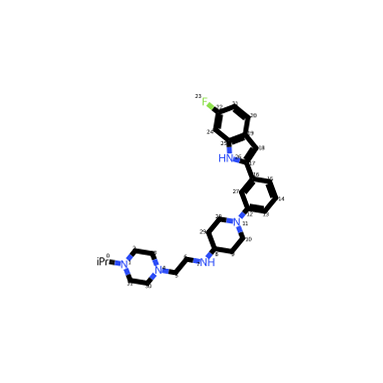 CC(C)N1CCN(CCNC2CCN(c3cccc(-c4cc5ccc(F)cc5[nH]4)c3)CC2)CC1